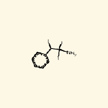 NC(I)(I)C(I)c1ccccc1